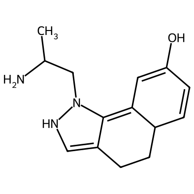 CC(N)CN1NC=C2CCC3C=CC(O)=CC3=C21